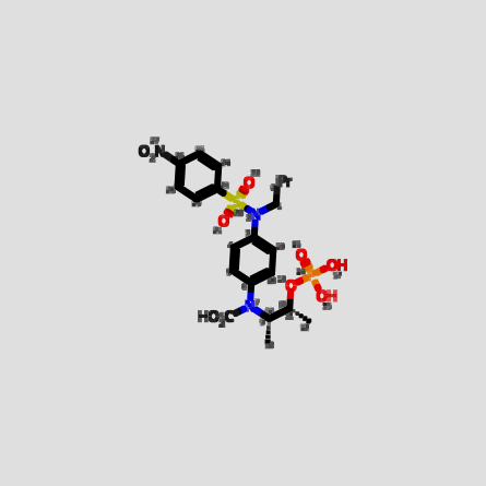 CC(C)CN(c1ccc(N(C(=O)O)[C@@H](C)[C@@H](C)OP(=O)(O)O)cc1)S(=O)(=O)c1ccc([N+](=O)[O-])cc1